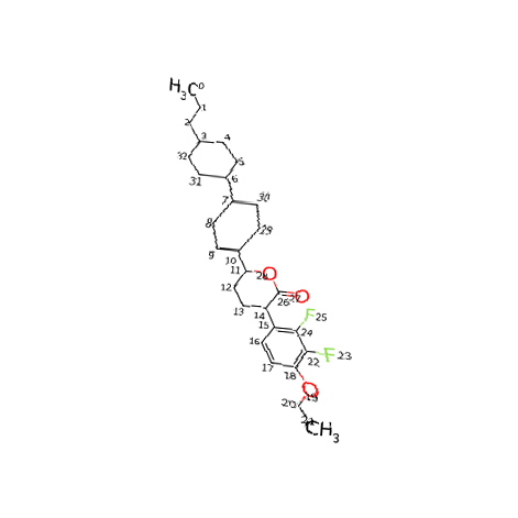 CCCC1CCC(C2CCC(C3CCC(c4ccc(OCC)c(F)c4F)C(=O)O3)CC2)CC1